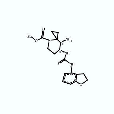 CC(C)(C)OC(=O)N1CC[C@H](NC(=S)Nc2cccc3c2CCO3)[C@H](N)C12CC2